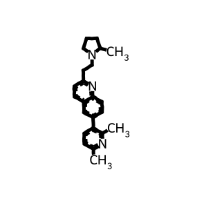 Cc1ccc(-c2ccc3nc(CCN4CCCC4C)ccc3c2)c(C)n1